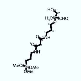 CO[Si](CCCNC(=O)CC(=O)NCCCO[Si](C)(C=O)CO)(OC)OC